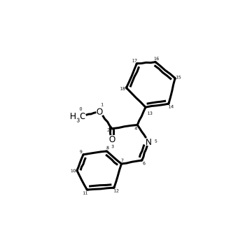 COC(=O)C(/N=C\c1ccccc1)c1ccccc1